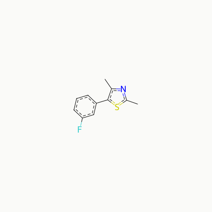 Cc1nc(C)c(-c2cccc(F)c2)s1